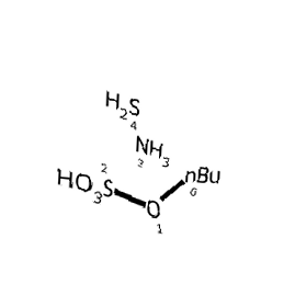 CCCCOS(=O)(=O)O.N.S